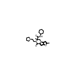 Cc1cc2c(cc3n2CC(C)(C(=O)NC2CCCCC2)N(CCN2CCCC2)C3=O)o1